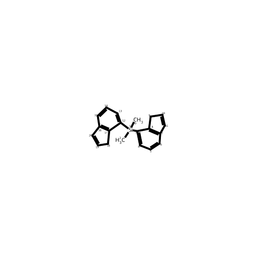 C[Si](C)(c1cccc2c1CC=C2)c1cccc2c1CC=C2